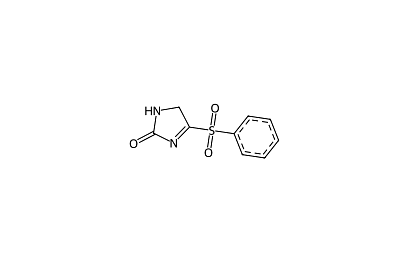 O=C1N=C(S(=O)(=O)c2ccccc2)CN1